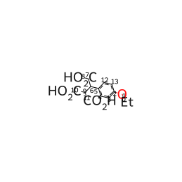 CCOc1ccc(C(CC(=O)O)C(C(=O)O)C(=O)O)cc1